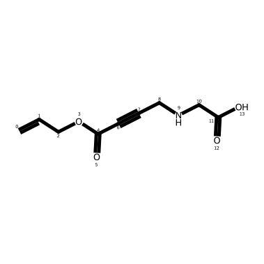 C=CCOC(=O)C#CCNCC(=O)O